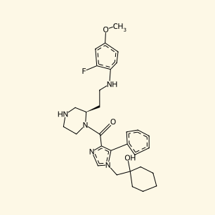 COc1ccc(NCC[C@@H]2CNCCN2C(=O)c2ncn(CC3(O)CCCCC3)c2-c2ccccc2)c(F)c1